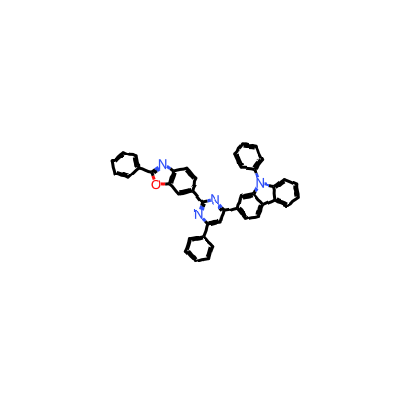 c1ccc(-c2cc(-c3ccc4c5ccccc5n(-c5ccccc5)c4c3)nc(-c3ccc4nc(-c5ccccc5)oc4c3)n2)cc1